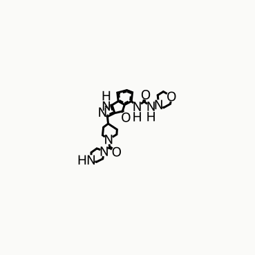 O=C(Nc1cccc2c1C(=O)c1c(C3CCN(C(=O)N4CCNCC4)CC3)n[nH]c1-2)NN1CCOCC1